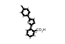 Cc1ccc(-c2ccc(-c3ccccc3C(=O)O)s2)cc1